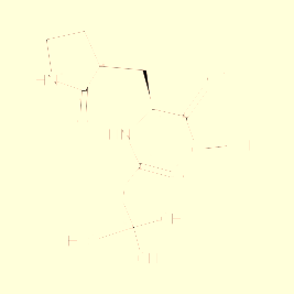 COC(=O)[C@H](CC1CCNC1=O)NC(=O)OC(C)(C)C